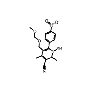 COCOCC1=C(c2ccc([N+](=O)[O-])cc2)N(S)C(C)C(C#N)=C1C